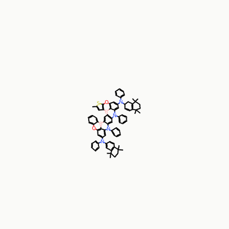 Cc1cc2c(s1)Oc1cc(N(c3ccccc3)C3C=CC4=C(C3)C(C)(C)CCC4(C)C)cc3c1B2c1cc2c(cc1N3c1ccccc1)N(c1ccccc1)c1cc(N(c3ccccc3)c3ccc4c(c3)C(C)(C)CCC4(C)C)cc3c1B2c1ccccc1O3